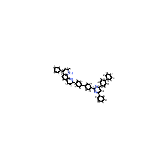 CC1C=C(c2ccccc2)c2ccc3ccc(-c4ccc(-c5ccc(-c6nc(-c7ccccc7)cc(-c7ccc(-c8ccccc8)cc7)n6)cc5)cc4)nc3c2N1